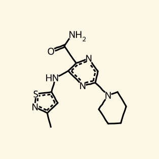 Cc1cc(Nc2nc(N3CCCCC3)cnc2C(N)=O)sn1